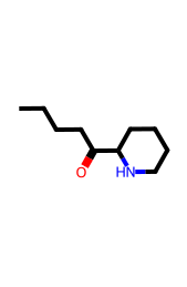 CCCCC(=O)C1CCCCN1